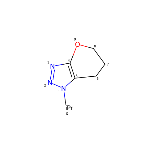 CC(C)n1nnc2c1CCCO2